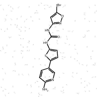 CC(C)(C)c1cc(NC(=O)Nc2ccc(-c3ccc(N)nc3)s2)no1